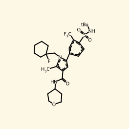 Cc1c(C(=O)NC2CCOCC2)cc(-c2ccc(S(=O)(=O)NC(C)(C)C)c(C(F)(F)F)c2)n1CC1(F)CCCCC1